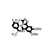 COc1cc2c(N[C@H](C)c3ccc(F)cc3)nn3c(C)nnc3c2cc1OC